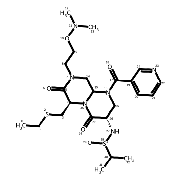 CCSC[C@H]1C(=O)N(CCON(C)C)CC2N(C(=O)c3cccnc3)C[C@H](N[S+]([O-])C(C)C)C(=O)N21